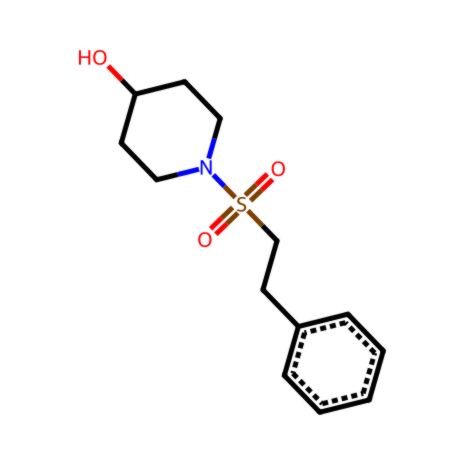 O=S(=O)(CCc1ccccc1)N1CCC(O)CC1